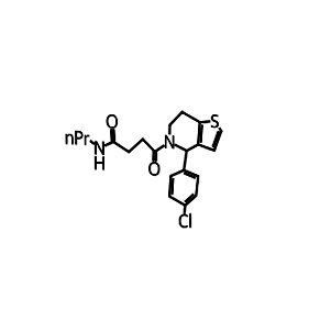 CCCNC(=O)CCC(=O)N1CCc2sccc2C1c1ccc(Cl)cc1